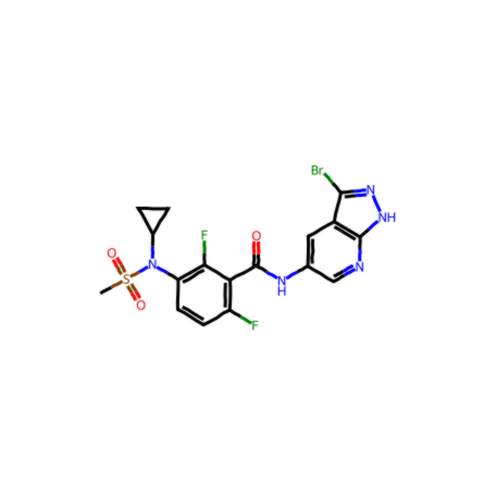 CS(=O)(=O)N(c1ccc(F)c(C(=O)Nc2cnc3[nH]nc(Br)c3c2)c1F)C1CC1